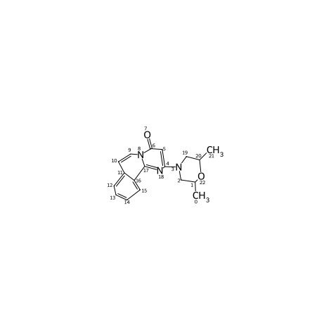 CC1CN(c2cc(=O)n3ccc4ccccc4c3n2)CC(C)O1